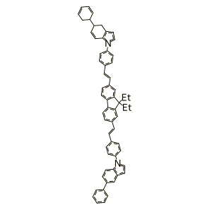 CCC1(CC)c2cc(/C=C/c3ccc(-n4ccc5c4C=CC(C4C=CC=CC4)C5)cc3)ccc2-c2ccc(/C=C/c3ccc(-n4ccc5cc(-c6ccccc6)ccc54)cc3)cc21